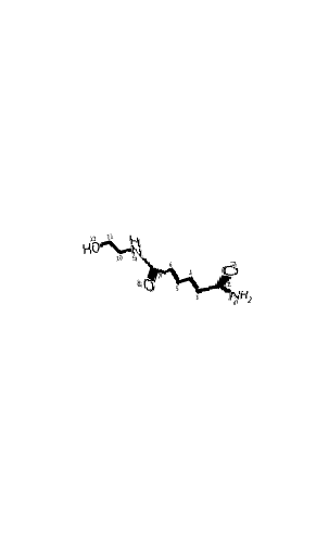 NC(=O)/C=C/C=C/C(=O)NCCO